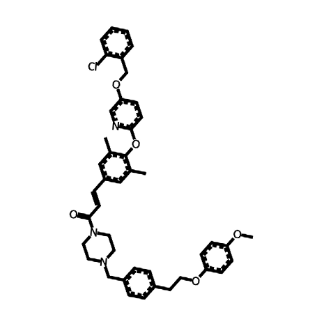 COc1ccc(OCCc2ccc(CN3CCN(C(=O)C=Cc4cc(C)c(Oc5ccc(OCc6ccccc6Cl)cn5)c(C)c4)CC3)cc2)cc1